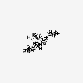 CC1(O)CCC(Nc2cc(Nc3ccnc(-c4cnn(S(=O)(=O)C5CC5)c4)n3)ncc2C#Cc2cnn([C@H]3CC3(F)F)c2)CC1